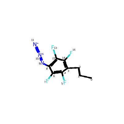 CCCc1c(F)c(F)c(N=[N+]=[N-])c(F)c1F